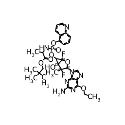 CCOc1nc(N)nc2c1ncn2[C@@H]1O[C@]2(F)C(OP(=O)(NC(C)C(=O)OCC(C)(C)C)Oc3cccc4ncccc34)[C@]2(O)[C@@]1(C)F